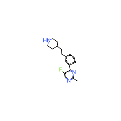 Cc1ncc(F)c(-c2cccc(CCC3CCNCC3)c2)n1